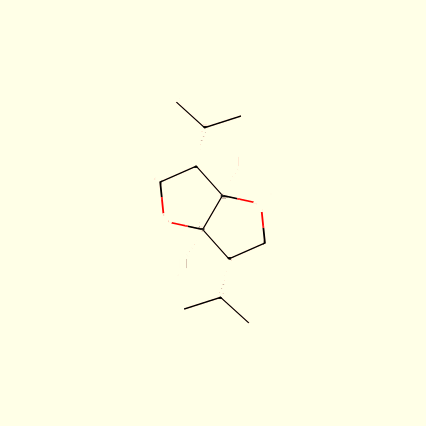 CC(C)[C@H]1CO[C@H]2[C@@H]1OC[C@@H]2C(C)C